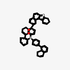 C1=CC(c2ccccc2N(c2ccc(-c3ccc4ccc5oc6c(c5c4c3)C=CCC6)cc2)c2ccc(-c3cccc4c3CCC=C4)cc2)=CCC1